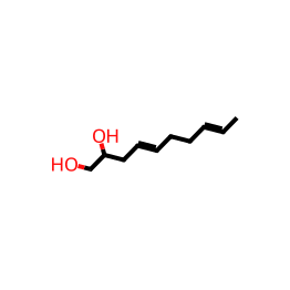 CC=CCCC=CCC(O)CO